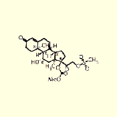 COC(=O)O[C@]1(C(=O)COS(C)(=O)=O)CC[C@H]2[C@@H]3CCC4=CC(=O)CC[C@]4(C)[C@H]3[C@@H](O)C[C@@]21C